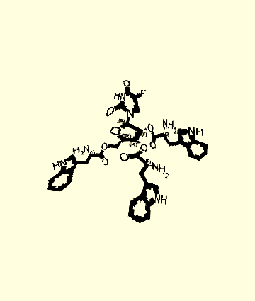 N[C@H](Cc1c[nH]c2ccccc12)C(=O)O[C@@H]1[C@H](OC(=O)[C@H](N)Cc2c[nH]c3ccccc23)[C@@H](COC(=O)[C@@H](N)Cc2c[nH]c3ccccc23)O[C@H]1n1cc(F)c(=O)[nH]c1=O